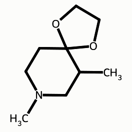 CC1CN(C)CCC12OCCO2